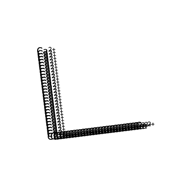 [Ca+2].[Ca+2].[Ca+2].[Ca+2].[Ca+2].[Ca+2].[Ca+2].[Ca+2].[Ca+2].[Ca+2].[Ca+2].[Ca+2].[Ca+2].[Ca+2].[Ca+2].[Ca+2].[Ca+2].[Ca+2].[Ca+2].[Ca+2].[Ca+2].[Ca+2].[Ca+2].[Ca+2].[Ca+2].[Ca+2].[Ca+2].[Ca+2].[Ca+2].[Ca+2].[Ca+2].[Ca+2].[Ca+2].[Ca+2].[Ca+2].[Ca+2].[Ca+2].[Ca+2].[Ca+2].[Ca+2].[Ca+2].[Ca+2].[Ca+2].[Ca+2].[Ca+2].[Ca+2].[Ca+2].[Ca+2].[Ca+2].[Ca+2].[Ca+2].[Ca+2].[Ca+2].[Ca+2].[Ca+2].[Ca+2].[Ca+2].[Ca+2].[Ca+2].[Ca+2]